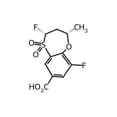 C[C@H]1C[C@@H](F)S(=O)(=O)c2cc(C(=O)O)cc(F)c2O1